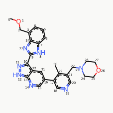 COCc1cccc2[nH]c(-c3n[nH]c4ncc(-c5cncc(CN6CCOCC6)c5C)cc34)nc12